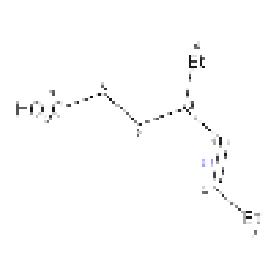 CC/C=C/C(CC)CCC(=O)O